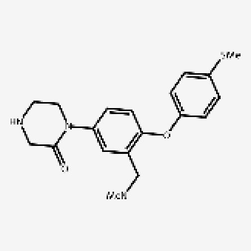 CNCc1cc(N2CCNCC2=O)ccc1Oc1ccc(SC)cc1